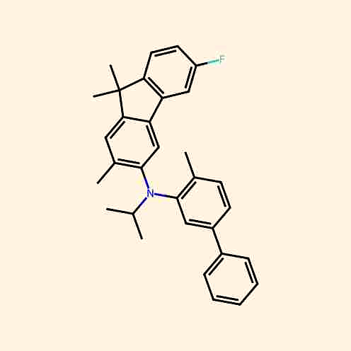 Cc1ccc(-c2ccccc2)cc1N(c1cc2c(cc1C)C(C)(C)c1ccc(F)cc1-2)C(C)C